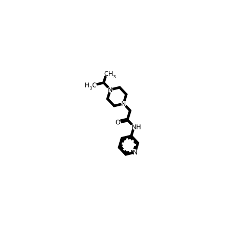 CC(C)N1CCN(CC(=O)Nc2cccnc2)CC1